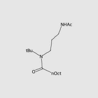 CCCCCCCCC(=O)N(CCCNC(C)=O)C(C)(C)C